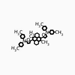 Cc1ccc(N(c2ccc(C)cc2)c2ccc(-c3c(C)c4c5c(c(-c6ccc(N(c7ccc(C)cc7)c7ccc(C)cc7)o6)c(C)c6c5c3CCC6)CCC4)o2)cc1